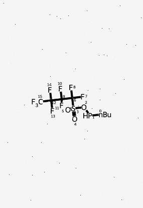 CCCCPOS(=O)(=O)C(F)(F)C(F)(F)C(F)(F)C(F)(F)F